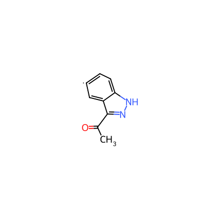 CC(=O)c1n[nH]c2cc[c]cc12